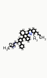 C=CCCC1=C(C)c2nc(-c3c4c(c(-c5ccc(C/C=C\C=C/C(=C)C)c(C6=CC=CCC6)c5)c5ccccc35)C=CCCC4)ccc2CC1